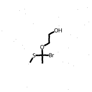 CSC(C)(Br)OCCO